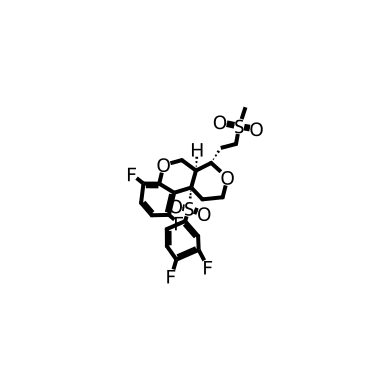 CS(=O)(=O)CC[C@@H]1OCC[C@@]2(S(=O)(=O)c3ccc(F)c(F)c3)c3c(F)ccc(F)c3OC[C@@H]12